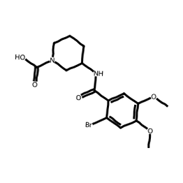 COc1cc(Br)c(C(=O)NC2CCCN(C(=O)O)C2)cc1OC